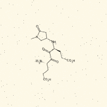 CN1CC(N[C@@H](CCC(=O)O)C(=O)C(=O)[C@@H](N)CCC(=O)O)CC1=O